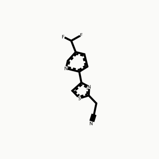 N#CCc1nc(-c2ccc(C(F)F)cn2)cs1